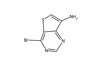 Nc1csc2c(Br)ncnc12